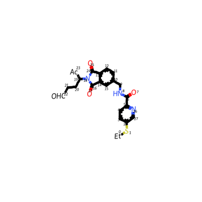 CCSc1ccc(C(=O)NCc2ccc3c(c2)C(=O)N(C(CCC=O)C(C)=O)C3=O)nc1